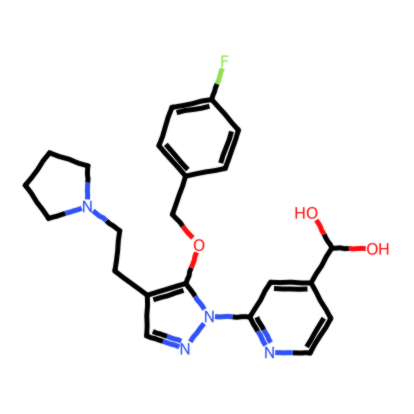 OC(O)c1ccnc(-n2ncc(CCN3CCCC3)c2OCc2ccc(F)cc2)c1